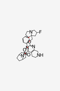 O=C(OCc1ccccc1)N1C2CCC1CN(c1nc(OCC34CCCN3CC(F)C4)nc3c1CCNC3)C2